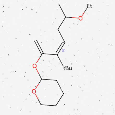 C=C(OC1CCCCO1)/C(=C\CC(C)OCC)C(C)(C)C